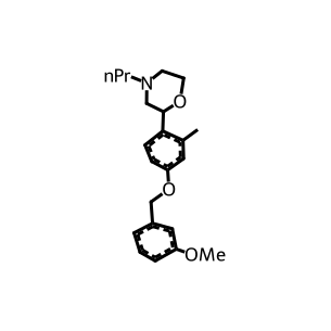 CCCN1CCOC(c2ccc(OCc3cccc(OC)c3)cc2C)C1